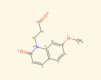 COc1ccc2ccc(=O)n(CCC=O)c2c1